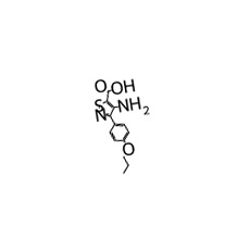 CCCOc1ccc(-c2nsc(C(=O)O)c2N)cc1